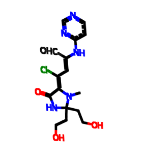 CN1/C(=C(Cl)\C=C(/C=O)Nc2ccncn2)C(=O)NC1(CCO)CCO